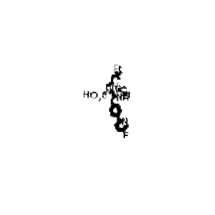 CCC(C)(C)Cc1cn(C(=O)O)c(C(Cc2ccc(-c3ccc(F)cn3)cc2)NS(C)(=O)=O)n1